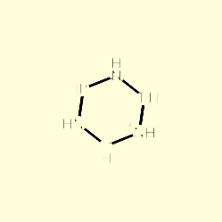 N1PNPNP1